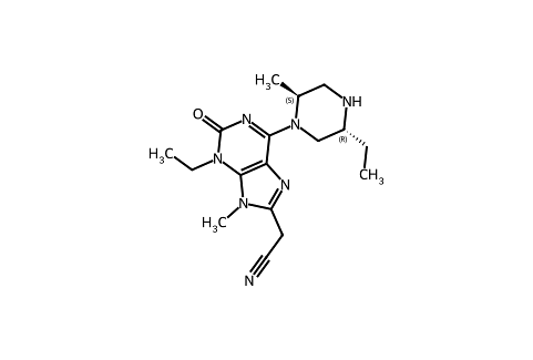 CC[C@@H]1CN(c2nc(=O)n(CC)c3c2nc(CC#N)n3C)[C@@H](C)CN1